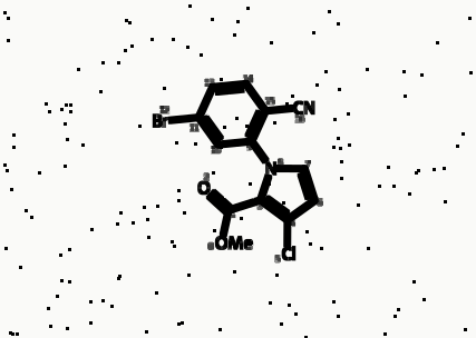 COC(=O)c1c(Cl)ccn1-c1cc(Br)ccc1C#N